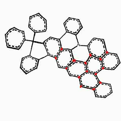 c1ccc(-c2cccc3cccc(-c4ccccc4N(c4ccccc4-c4ccc5c(c4)C(c4ccccc4)(c4ccccc4)c4ccccc4-5)c4ccccc4-c4cccc5c4ccc4ccccc45)c23)cc1